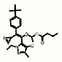 CCCC(=O)OC(C)O/C(=C(\c1ccc(C(C)(C)C)cc1)C1C=N1)c1c(Cl)c(C)nn1CC